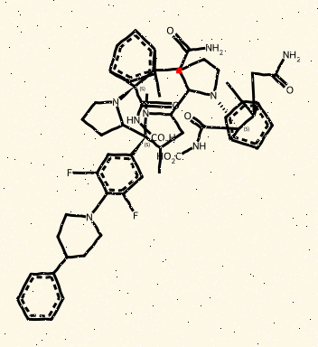 CC1CC(C2CCCN2[C@@]2(C(=O)NC(=O)O)c3ccc(cc3)C2(C)CC(N)=O)N(C)[C@@]1(c1cc(F)c(N2CCC(c3ccccc3)CC2)c(F)c1)C1CCCN1[C@@]1(C(=O)NC(=O)O)c2ccc(cc2)C1(C)CC(N)=O